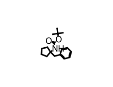 CC(C)(C)OC(=O)NC1(Cc2ccccc2)CCCC1